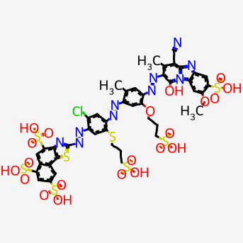 COc1cc2c(cc1S(=O)(=O)O)nc1c(C#N)c(C)c(N=Nc3cc(C)c(N=Nc4cc(Cl)c(N=Nc5nc6c(S(=O)(=O)O)cc7c(S(=O)(=O)O)cc(S(=O)(=O)O)cc7c6s5)cc4SCCCS(=O)(=O)O)cc3OCCCS(=O)(=O)O)c(O)n12